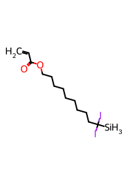 C=CC(=O)OCCCCCCCCCC([SiH3])(I)I